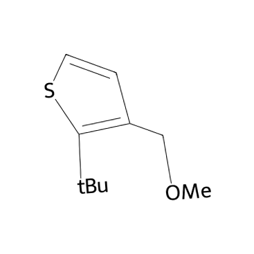 COCc1ccsc1C(C)(C)C